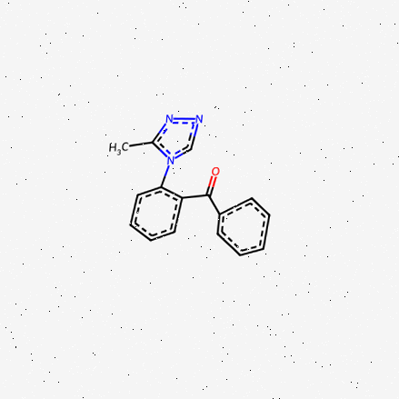 Cc1nncn1-c1ccccc1C(=O)c1ccccc1